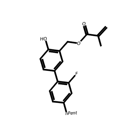 C=C(C)C(=O)OCc1cc(-c2ccc(CCCCC)cc2F)ccc1O